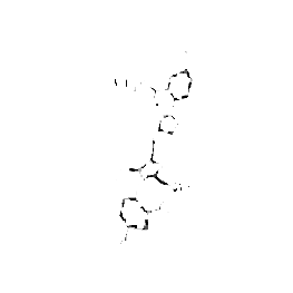 C=C(O)c1cc(Cl)ccc1-c1ccc(/C=c2\sc(=N)n(-c3ccc(Cl)cc3Cl)c2=C)o1